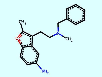 Cc1oc2ccc(N)cc2c1CCN(C)Cc1ccccc1